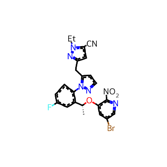 CCn1nc(Cc2ccnn2-c2ccc(F)cc2[C@@H](C)Oc2cc(Br)cnc2[N+](=O)[O-])cc1C#N